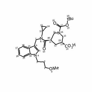 COCCCn1cc(CN(C(=O)[C@@H]2C[C@H](C(=O)O)CN(C(=O)OC(C)(C)C)C2)C2CC2)c2ccccc21